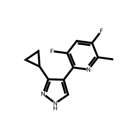 Cc1nc(-c2c[nH]nc2C2CC2)c(F)cc1F